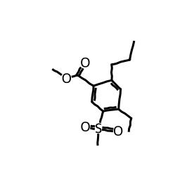 CCCc1cc(CC)c(S(C)(=O)=O)cc1C(=O)OC